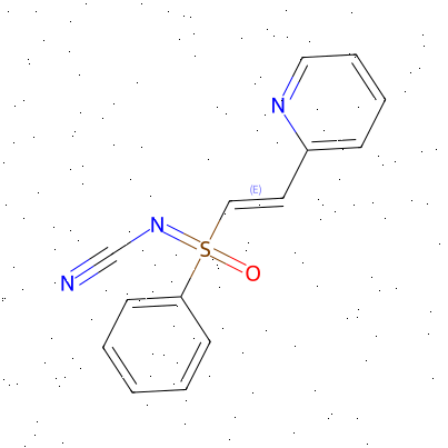 N#CN=S(=O)(/C=C/c1ccccn1)c1ccccc1